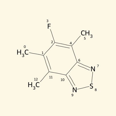 Cc1c(F)c(C)c2nsnc2c1C